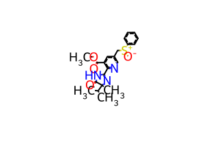 COC(=O)c1cc(C[S+]([O-])c2ccccc2)cnc1C1=NC(C)(C(C)C)C(=O)N1